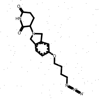 [N-]=[N+]=NCCCCOc1ccc2c(c1)CN(C1CCC(=O)NC1=O)C2